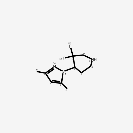 Cc1cc(C)n(C2CCNCC2(F)F)n1